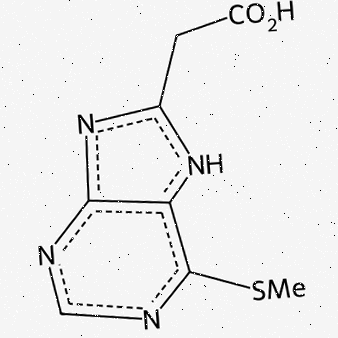 CSc1ncnc2nc(CC(=O)O)[nH]c12